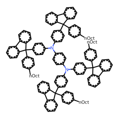 CCCCCCCCc1ccc(C2(c3ccc(N(c4ccc(N(c5ccc(C6(c7ccc(CCCCCCCC)cc7)c7ccccc7-c7ccccc76)cc5)c5ccc(C6(c7ccc(CCCCCCCC)cc7)c7ccccc7-c7ccccc76)cc5)cc4)c4ccc(C5(c6ccc(CCCCCCCC)cc6)c6ccccc6-c6ccccc65)cc4)cc3)c3ccccc3-c3ccccc32)cc1